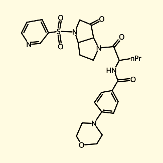 CCCC(NC(=O)c1ccc(N2CCOCC2)cc1)C(=O)N1CCC2C1C(=O)CN2S(=O)(=O)c1cccnc1